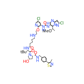 COC(C)c1c(NC(=O)Nc2cc(Cl)cnc2OCCNCCCCC(=O)NC(C(=O)N2C[C@H](O)C[C@H]2C(=O)NCc2ccc(-c3scnc3C)cc2)C(C)(C)C)cnc2cc(Cl)nn12